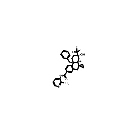 Cc1ncccc1NC(=O)c1ccc2c(c1)CC1(CC1)[C@@H]1C[C@@](O)(C(F)(F)F)CC[C@@]21Cc1ccccc1